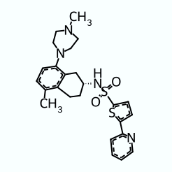 Cc1ccc(N2CCN(C)CC2)c2c1CC[C@@H](NS(=O)(=O)c1ccc(-c3ccccn3)s1)C2